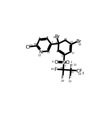 O=S(=O)(C1=CC(Br)(c2ccc(Cl)nc2)[CH]C(Br)=C1)C(F)(F)C(F)(F)C(F)(F)F